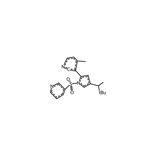 C[C](c1cc(-c2cnccc2C)n(S(=O)(=O)c2cccnc2)c1)C(C)(C)C